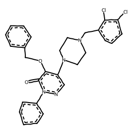 O=c1c(OCc2ccccc2)c(N2CCN(Cc3cccc(Cl)c3Cl)CC2)cnn1-c1ccccc1